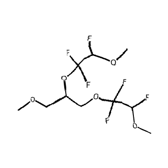 COCC(COC(F)(F)C(F)OC)OC(F)(F)C(F)OC